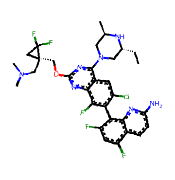 CC[C@@H]1CN(c2nc(OC[C@]3(CN(C)C)CC3(F)F)nc3c(F)c(-c4c(F)cc(F)c5ccc(N)nc45)c(Cl)cc23)C[C@@H](C)N1